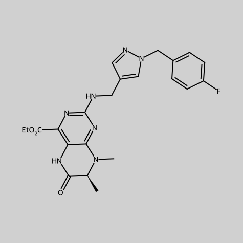 CCOC(=O)c1nc(NCc2cnn(Cc3ccc(F)cc3)c2)nc2c1NC(=O)[C@H](C)N2C